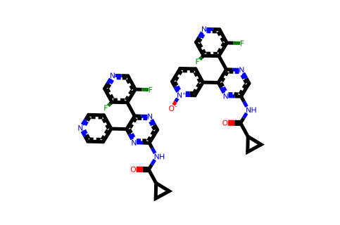 O=C(Nc1cnc(-c2c(F)cncc2F)c(-c2ccc[n+]([O-])c2)n1)C1CC1.O=C(Nc1cnc(-c2c(F)cncc2F)c(-c2ccncc2)n1)C1CC1